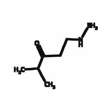 BNCCC(=O)C(C)C